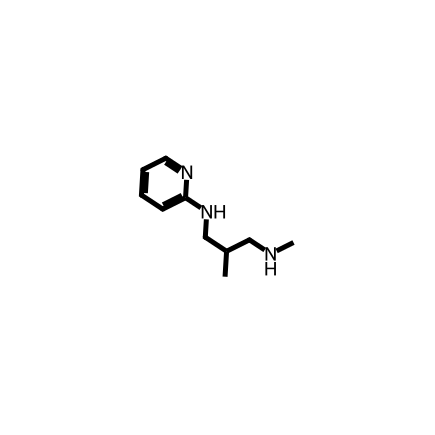 CNCC(C)CNc1ccccn1